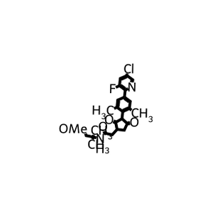 COCC(C)(C)NC(=O)CC1CC(=O)C(c2c(C)cc(-c3ncc(Cl)cc3F)cc2C)C1=O